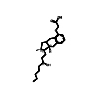 CCCCC[C@H](O)CC[C@H]1[C@H](C)CC2Cc3c(cccc3OCC(=O)O)C[C@@H]21